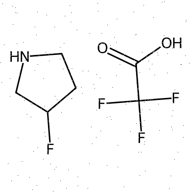 FC1CCNC1.O=C(O)C(F)(F)F